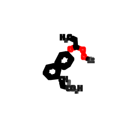 C=CC(=O)O.C=CC(=O)OOCC.c1ccccc1.c1ccccc1